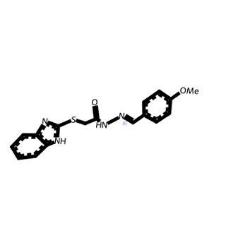 COc1ccc(/C=N/NC(=O)CSc2nc3ccccc3[nH]2)cc1